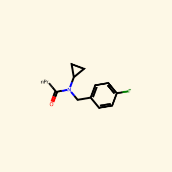 CCCC(=O)N(Cc1ccc(F)cc1)C1CC1